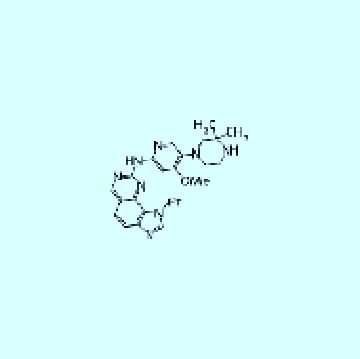 COc1cc(Nc2ncc3ccc4ncn(C(C)C)c4c3n2)ncc1N1CCNC(C)(C)C1